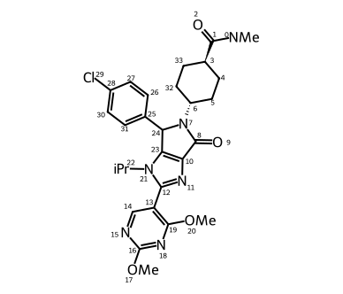 CNC(=O)[C@H]1CC[C@H](N2C(=O)c3nc(-c4cnc(OC)nc4OC)n(C(C)C)c3C2c2ccc(Cl)cc2)CC1